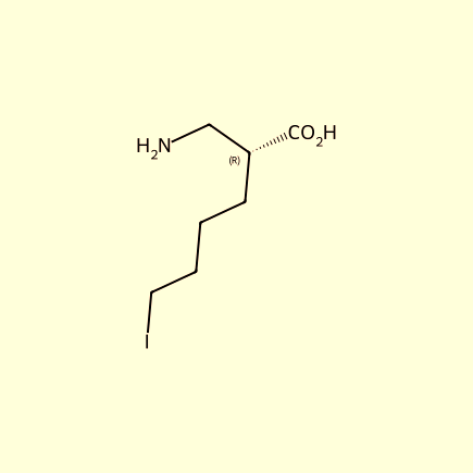 NC[C@@H](CCCCI)C(=O)O